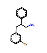 NCC(Cc1cccc(Br)c1)c1ccccc1